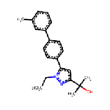 CCOC(=O)Cn1nc(C(C)(C)O)cc1-c1ccc(-c2cccc(C)c2)cc1